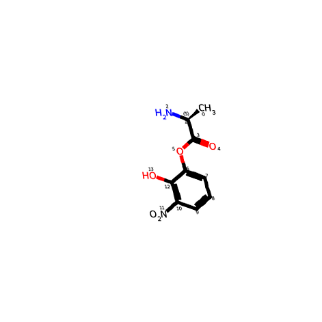 C[C@H](N)C(=O)Oc1cccc([N+](=O)[O-])c1O